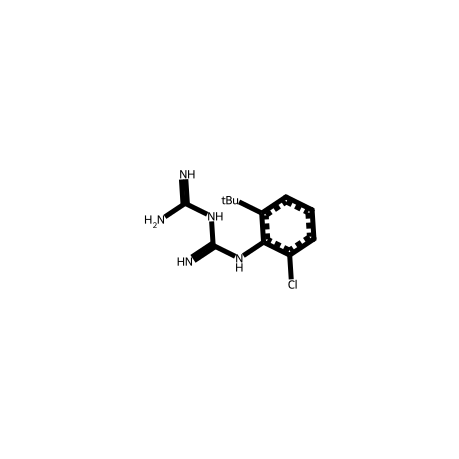 CC(C)(C)c1cccc(Cl)c1NC(=N)NC(=N)N